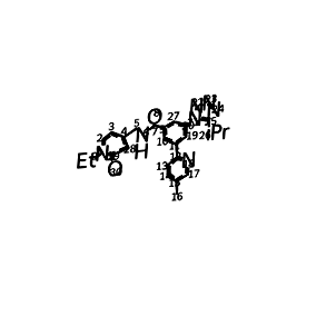 CCn1ccc(CNC(=O)c2cc(-c3ccc(C)cn3)cc(-n3nnnc3C(C)C)c2)cc1=O